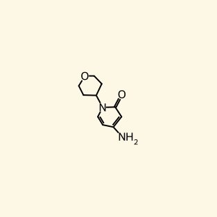 Nc1ccn(C2CCOCC2)c(=O)c1